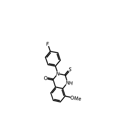 COc1cccc2c(=O)n(-c3ccc(F)cc3)c(=S)[nH]c12